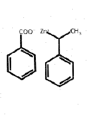 C[CH]([Zn+])c1ccccc1.O=C([O-])c1ccccc1